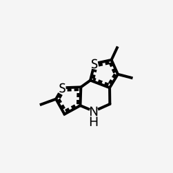 Cc1cc2c(s1)-c1sc(C)c(C)c1CN2